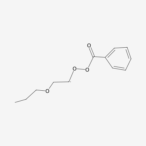 CCCOC[CH]OOC(=O)c1ccccc1